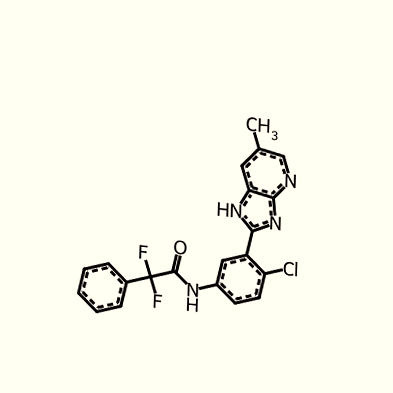 Cc1cnc2nc(-c3cc(NC(=O)C(F)(F)c4ccccc4)ccc3Cl)[nH]c2c1